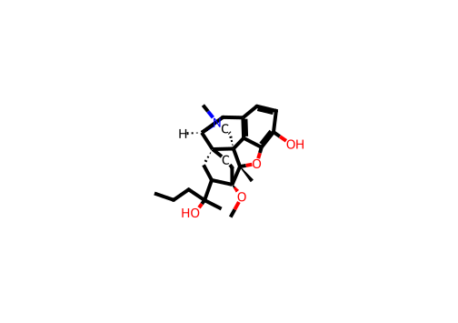 CCCC(C)(O)C1C[C@@]23CC[C@]1(OC)[C@@]1(C)Oc4c(O)ccc5c4[C@]21CCN(C)[C@@H]3C5